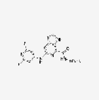 CCCCCNC(=O)c1nc(Nc2cc(F)nc(F)c2)cc2cc[nH]c12